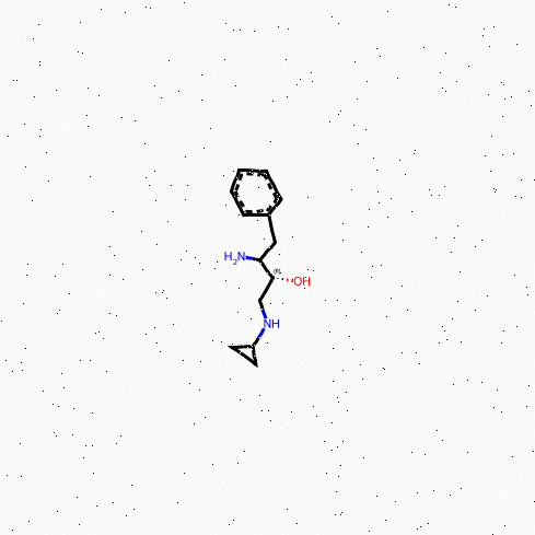 NC(Cc1ccccc1)[C@H](O)CNC1CC1